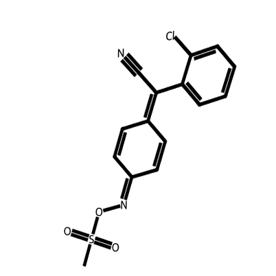 CS(=O)(=O)ON=C1C=CC(=C(C#N)c2ccccc2Cl)C=C1